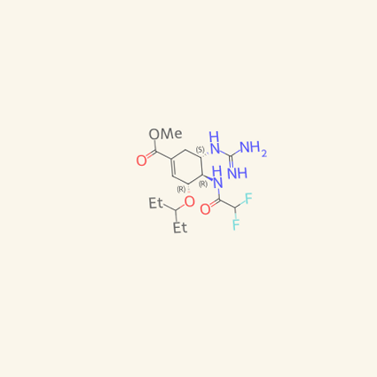 CCC(CC)O[C@@H]1C=C(C(=O)OC)C[C@H](NC(=N)N)[C@H]1NC(=O)C(F)F